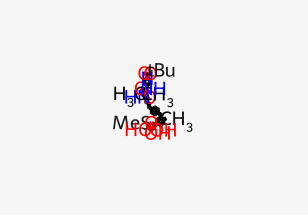 CS[C@H]1O[C@@H](c2ccc(C)c(Cc3ccc(CCCC(=O)NC(C)(C)C(=O)NC4CCN(C(=O)OC(C)(C)C)CC4)cc3)c2)[C@H](O)[C@@H](O)[C@@H]1O